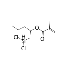 C=C(C)C(=O)OC(CCC)C[SiH](Cl)Cl